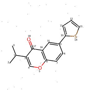 CC(C)c1coc2ccc(-c3cccs3)cc2c1=O